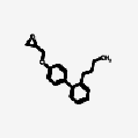 CCCCc1ccccc1-c1ccc(OCC2CO2)cc1